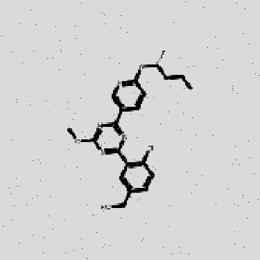 CCC[C@@H](C)Oc1ccc(-c2nc(OC)nc(-c3cc(CO)ccc3Cl)n2)cn1